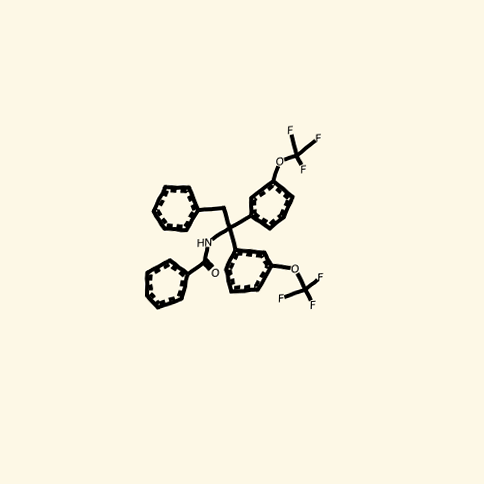 O=C(NC(Cc1ccccc1)(c1cccc(OC(F)(F)F)c1)c1cccc(OC(F)(F)F)c1)c1ccccc1